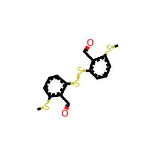 CSc1cccc(SSc2cccc(SC)c2C=O)c1C=O